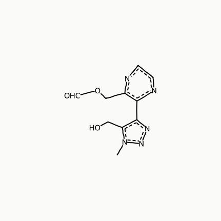 Cn1nnc(-c2nccnc2COC=O)c1CO